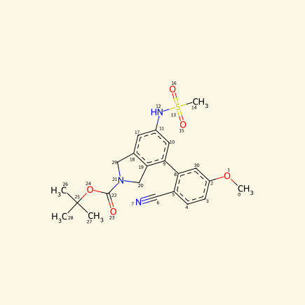 COc1ccc(C#N)c(-c2cc(NS(C)(=O)=O)cc3c2CN(C(=O)OC(C)(C)C)C3)c1